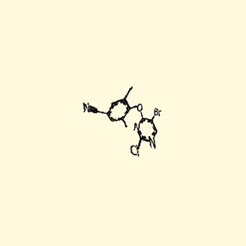 Cc1cc(C#N)cc(C)c1Oc1nc(Cl)ncc1Br